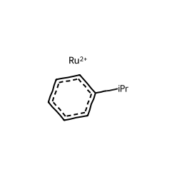 CC(C)c1ccccc1.[Ru+2]